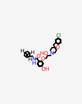 CC1(C)[C@H]2CC[C@H](CNC(=O)c3ccc(O)cc3OC[C@H](O)CN3CCC4(CC3)Cc3cc(Cl)ccc3O4)[C@@H]1C2